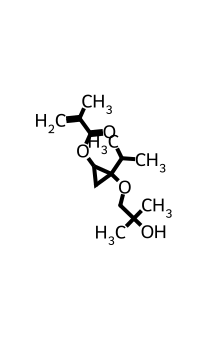 C=C(C)C(=O)OC1CC1(OCC(C)(C)O)C(C)C